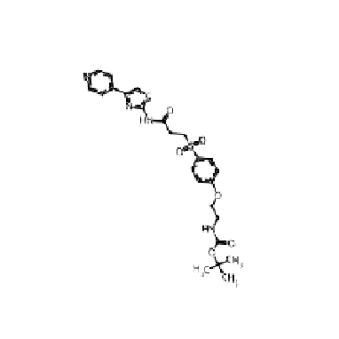 CC(C)(C)OC(=O)NCCOc1ccc(S(=O)(=O)CCC(=O)Nc2nc(-c3ccncc3)cs2)cc1